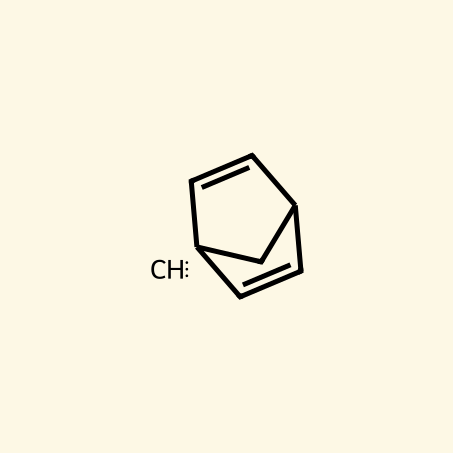 C1=CC2C=CC1C2.[CH]